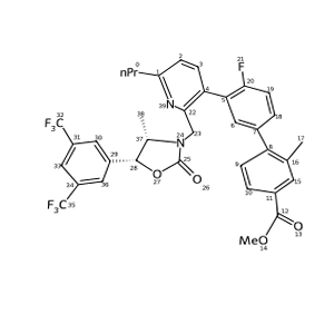 CCCc1ccc(-c2cc(-c3ccc(C(=O)OC)cc3C)ccc2F)c(CN2C(=O)O[C@H](c3cc(C(F)(F)F)cc(C(F)(F)F)c3)[C@@H]2C)n1